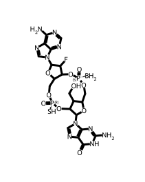 B[P@]1(=O)OCC2OC(n3cnc4c(=O)[nH]c(N)nc43)C(O[P@](=O)(S)OCC3OC(n4cnc5c(N)ncnc54)C(F)C3O1)C2CO